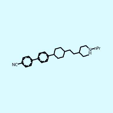 CCC[SiH]1CCC(CCC2CCC(c3ccc(-c4ccc(C#N)cc4)cc3)CC2)CC1